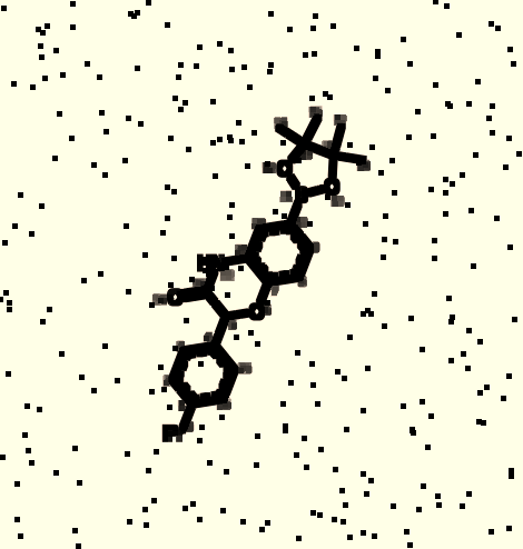 CC(C)c1ccc(C2Oc3ccc(B4OC(C)(C)C(C)(C)O4)cc3NC2=O)cc1